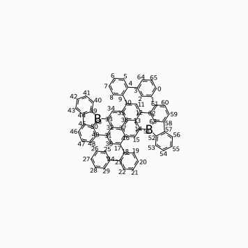 c1ccc(-c2ccccc2-c2cc3c4c(cc5c(-c6ccccc6-c6ccccc6)cc6c7c(cc2c4c57)B2c4ccccc4-c4cccc-6c42)B2c4ccccc4-c4cccc-3c42)cc1